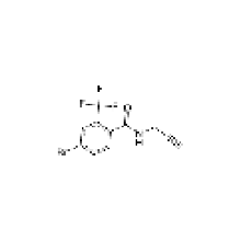 C#CCNC(=O)c1ccc(Br)cc1C(F)(F)F